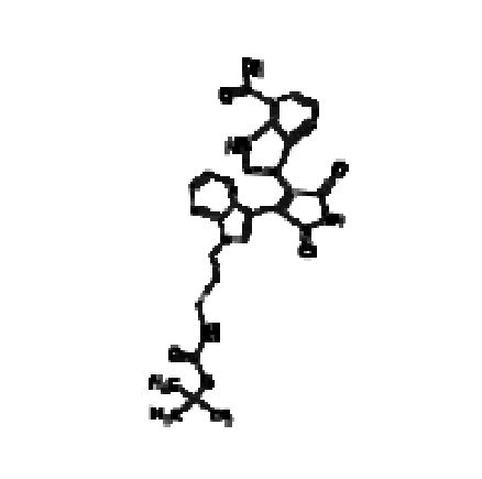 CC(C)(C)OC(=O)NCCCn1cc(C2=C(c3c[nH]c4c(C(=O)O)cccc34)C(=O)NC2=O)c2ccccc21